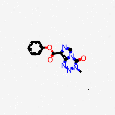 Cn1nnc2c(C(=O)Oc3ccccc3)ncn2c1=O